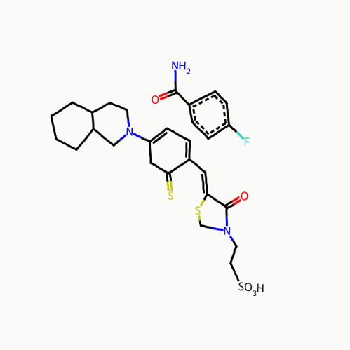 NC(=O)c1ccc(F)cc1.O=C1C(=CC2=CC=C(N3CCC4CCCCC4C3)CC2=S)SCN1CCS(=O)(=O)O